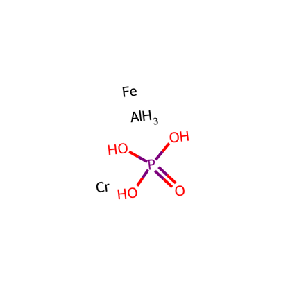 O=P(O)(O)O.[AlH3].[Cr].[Fe]